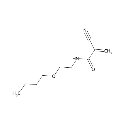 C=C(C#N)C(=O)NCCOCCCC